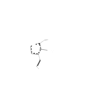 CC=Cc1cccc(CC(C)(C)C)c1OC